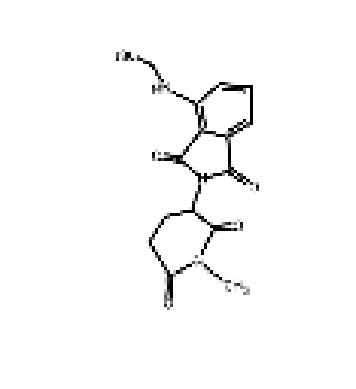 CN1C(=O)CCC(N2C(=O)c3cccc(NCC(C)(C)C)c3C2=O)C1=O